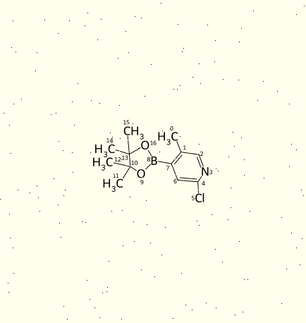 Cc1cnc(Cl)cc1B1OC(C)(C)C(C)(C)O1